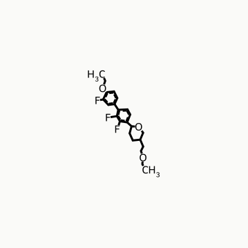 CCOCCC1CCC(c2ccc(-c3ccc(OCC)c(F)c3)c(F)c2F)OC1